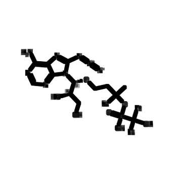 CCC(C)(CCO[C@H]([C@H](O)CO)n1c(N=[N+]=[N-])nc2c(N)ncnc21)OP(=O)(O)C(O)(CC)CC